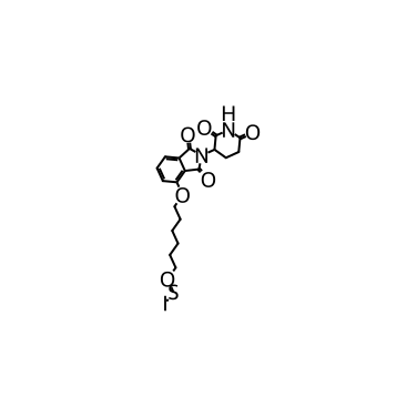 O=C1CCC(N2C(=O)c3cccc(OCCCCCCOSI)c3C2=O)C(=O)N1